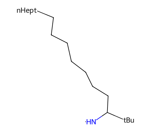 CCCCCCCCCCCCCCC([NH])C(C)(C)C